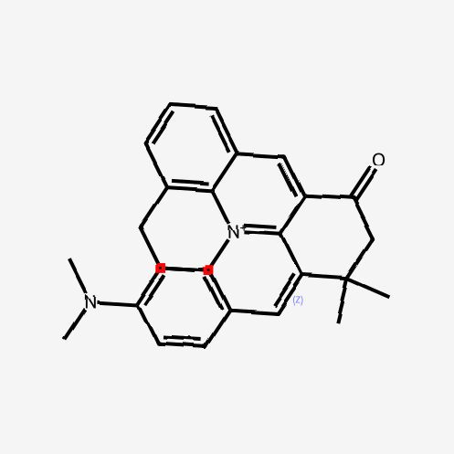 CN(C)c1ccc(/C=C2\c3c(cc4cccc5c4[n+]3CCC5)C(=O)CC2(C)C)cc1